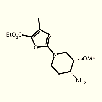 CCOC(=O)c1oc(N2CC[C@@H](N)[C@@H](OC)C2)nc1C